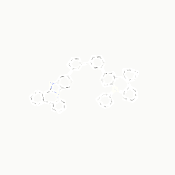 c1ccc(N2c3ccccc3-c3ccccc3-c3cc(-c4cccc(-c5cccc(-c6ccc7c(c6)nc6c8ccccc8c8ccccc8n76)c5)c4)ccc32)cc1